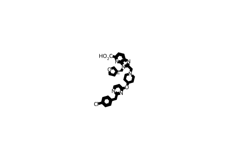 O=C(O)c1ccc2nc(CN3CCC(Oc4ccnc(Cc5ccc(Cl)cc5)n4)CC3)n(C[C@H]3CCOC3)c2n1